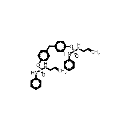 C=CCNP(=O)(Nc1ccccc1)Oc1ccc(Cc2ccc(OP(=O)(NCC=C)Nc3ccccc3)cc2)cc1